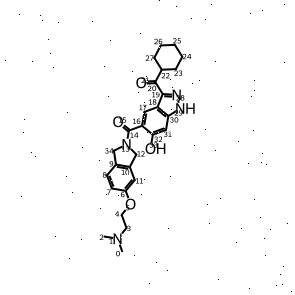 CN(C)CCOc1ccc2c(c1)CN(C(=O)c1cc3c(C(=O)C4CCCCC4)n[nH]c3cc1O)C2